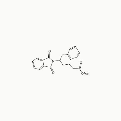 COC(=O)CCCC(Cc1ccccc1)N1C(=O)c2ccccc2C1=O